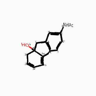 CC(=O)Nc1ccc2c(c1)CC1(O)CC=CC=C21